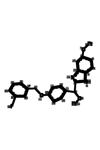 CCOc1ccc2[nH]c(C(OCC)c3ccc(OCc4cccc(F)c4)cc3)nc2c1